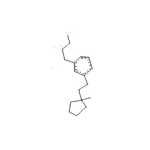 C[C@H](CN)[C@@H](O)c1cccc(CCC2(C)CCCC2)c1